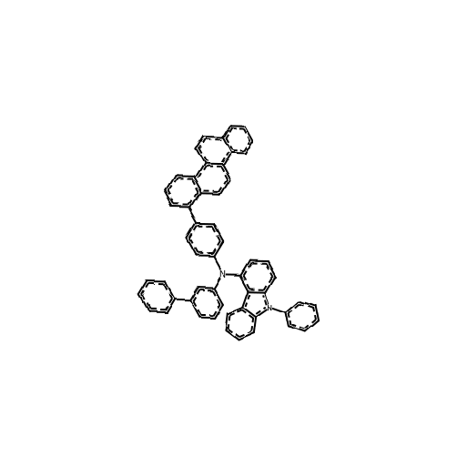 c1ccc(-c2cccc(N(c3ccc(-c4cccc5c4ccc4c6ccccc6ccc54)cc3)c3cccc4c3c3ccccc3n4-c3ccccc3)c2)cc1